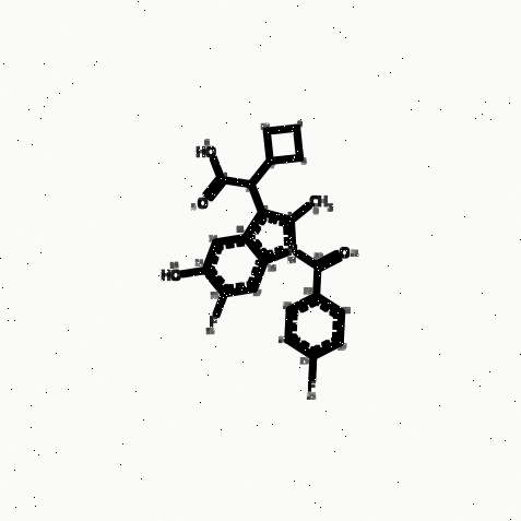 Cc1c(C(C(=O)O)C2CCC2)c2cc(O)c(F)cc2n1C(=O)c1ccc(F)cc1